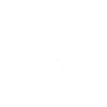 CC(=O)OOC1(c2ccccc2)CCNC1